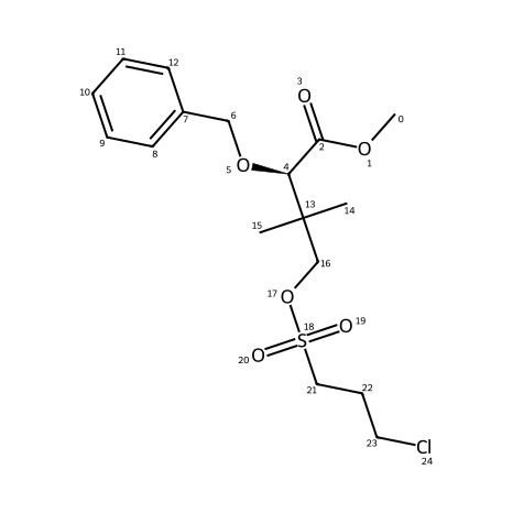 COC(=O)[C@H](OCc1ccccc1)C(C)(C)COS(=O)(=O)CCCCl